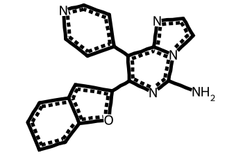 Nc1nc(-c2cc3ccccc3o2)c(-c2ccncc2)c2nccn12